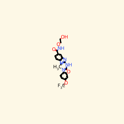 Cn1c(Nc2nc3ccc(OC(F)(F)F)cc3o2)nc2cc(C(=O)NOCCO)ccc21